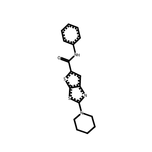 O=C(Nc1ccccc1)c1cc2nc(N3CCCCC3)sc2s1